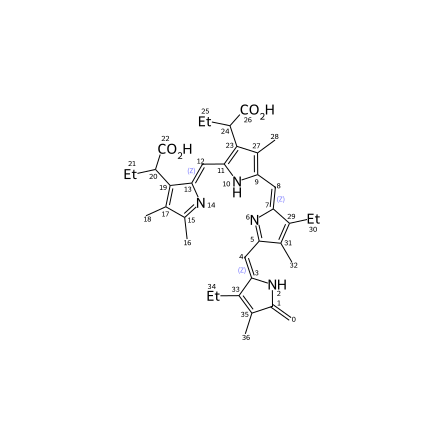 C=c1[nH]/c(=C\C2=NC(=C\c3[nH]c(/C=C4\N=C(C)C(C)=C4C(CC)C(=O)O)c(C(CC)C(=O)O)c3C)/C(CC)=C2C)c(CC)c1C